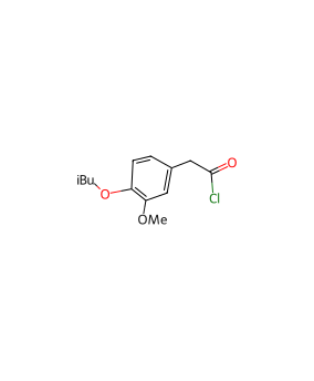 CCC(C)Oc1ccc(CC(=O)Cl)cc1OC